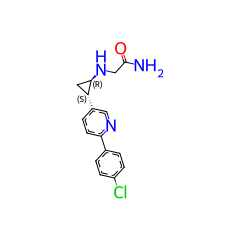 NC(=O)CN[C@@H]1C[C@H]1c1ccc(-c2ccc(Cl)cc2)nc1